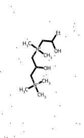 CCC(O)C[N+](C)(C)CC(O)C[N+](C)(C)C